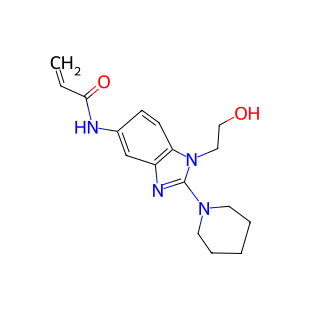 C=CC(=O)Nc1ccc2c(c1)nc(N1CCCCC1)n2CCO